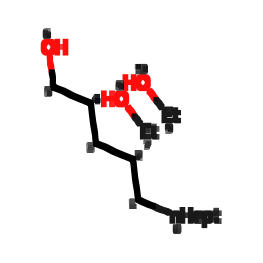 CCCCCCCCCCCCO.CCO.CCO